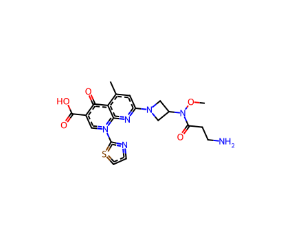 CON(C(=O)CCN)C1CN(c2cc(C)c3c(=O)c(C(=O)O)cn(-c4nccs4)c3n2)C1